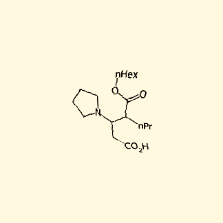 CCCCCCOC(=O)C(CCC)C(CC(=O)O)N1CCCC1